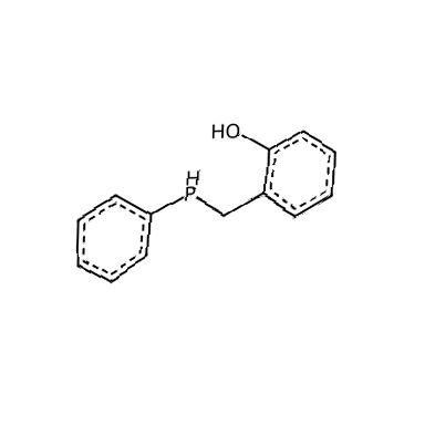 Oc1ccccc1CPc1ccccc1